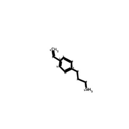 C=Cc1ccc(CCC[SiH3])cc1